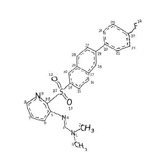 CN(C)C=Nc1cccnc1S(=O)(=O)c1ccc2cc(-c3ccc(F)cc3)ccc2c1